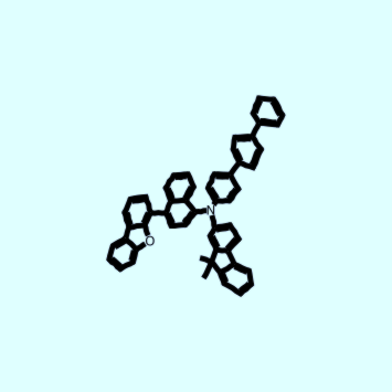 CC1(C)c2ccccc2-c2ccc(N(c3ccc(-c4ccc(-c5ccccc5)cc4)cc3)c3ccc(-c4cccc5c4oc4ccccc45)c4ccccc34)cc21